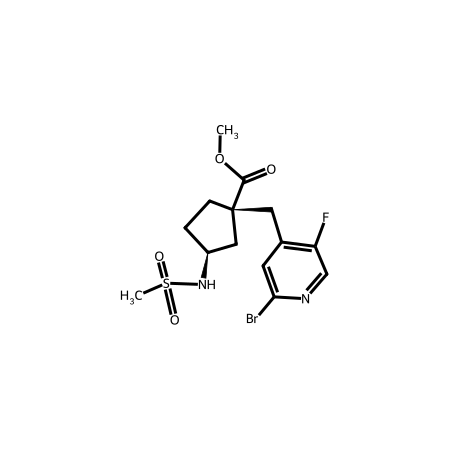 COC(=O)[C@@]1(Cc2cc(Br)ncc2F)CC[C@H](NS(C)(=O)=O)C1